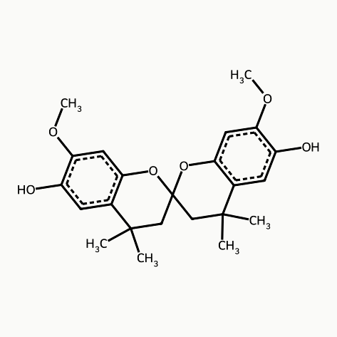 COc1cc2c(cc1O)C(C)(C)CC1(CC(C)(C)c3cc(O)c(OC)cc3O1)O2